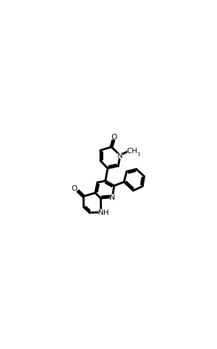 Cn1cc(-c2cc3c(=O)cc[nH]c3nc2-c2ccccc2)ccc1=O